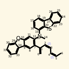 C=C(/C=C\C=C/C)c1cc2c(cc1N(C)c1cccc3c1sc1ccccc13)oc1ccccc12